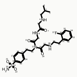 CC(C)CNCC(=O)NCC(=O)N(CCc1ccc(S(N)(=O)=O)cc1)C(=O)CNCCc1ccccc1F